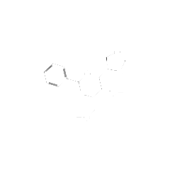 OC[C@@H]1OC(c2ccccc2)O[C@H]([C@H]2COCO2)[C@@H]1O